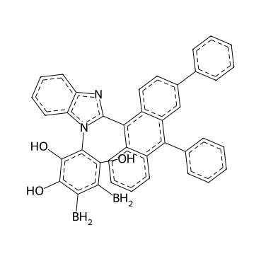 Bc1c(B)c(O)c(-n2c(-c3c4ccccc4c(-c4ccccc4)c4cc(-c5ccccc5)ccc34)nc3ccccc32)c(O)c1O